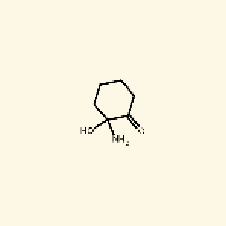 NC1(O)CCCCC1=O